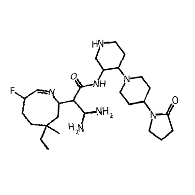 CCC1(C)CCC(F)/C=N\C(C(C(=O)NC2CNCCC2N2CCC(N3CCCC3=O)CC2)C(N)N)C1